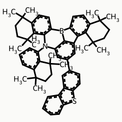 CC1(C)CCC(C)(C)c2c(N3c4cc(-c5ccc6sc7ccccc7c6c5)cc5c4B(c4ccc6c(c4-5)C(C)(C)CCC6(C)C)c4ccc5c(c43)C(C)(C)CCC5(C)C)cccc21